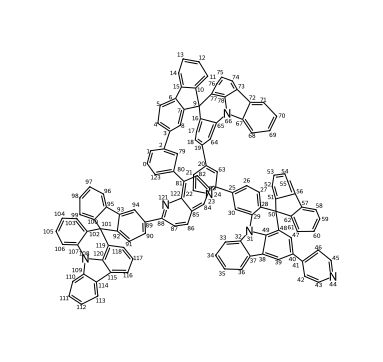 c1cc(-c2ccc3c(c2)C2(c4ccccc4-3)c3ccc(-c4ccnc(-c5ccc6c(c5)-n5c7ccccc7c7cc(-c8ccncc8)cc(c75)C65c6ccccc6-c6ccccc65)c4)cc3-n3c4ccccc4c4cccc2c43)cc(-c2cccc3ccc(-c4ccc5c(c4)-c4ccccc4C54c5ccccc5-n5c6ccccc6c6cccc4c65)nc23)c1